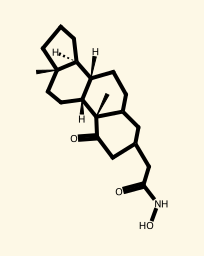 C[C@@]12CCC[C@H]1[C@@H]1CCC3CC(CC(=O)NO)CC(=O)[C@]3(C)[C@@H]1CC2